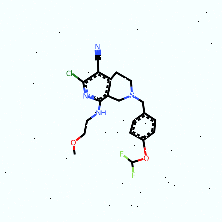 COCCNc1nc(Cl)c(C#N)c2c1CN(Cc1ccc(OC(F)F)cc1)CC2